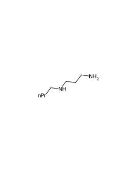 C[CH]CCNCCCN